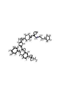 COc1ccc(CN(C(=O)C2=CC=C(NC3CCN(C(=O)/C=C/CN4CCCC4)CC3)C2)c2ccccc2)cc1